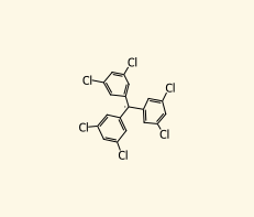 Clc1cc(Cl)cc([C](c2cc(Cl)cc(Cl)c2)c2cc(Cl)cc(Cl)c2)c1